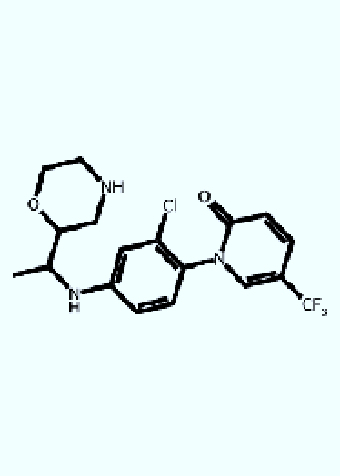 CC(Nc1ccc(-n2cc(C(F)(F)F)ccc2=O)c(Cl)c1)C1CNCCO1